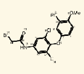 COc1ccc(Oc2c(Cl)cc(NC(=O)CBr)cc2Cl)cc1C(C)C